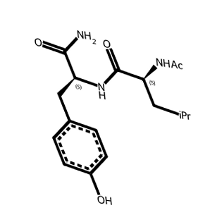 CC(=O)N[C@@H](CC(C)C)C(=O)N[C@@H](Cc1ccc(O)cc1)C(N)=O